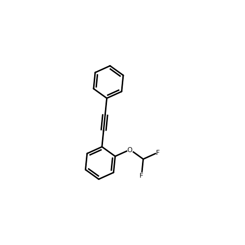 FC(F)Oc1ccccc1C#Cc1ccccc1